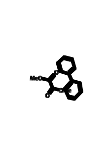 COC(=O)C(=O)OC.c1ccc(-c2ccccc2)cc1